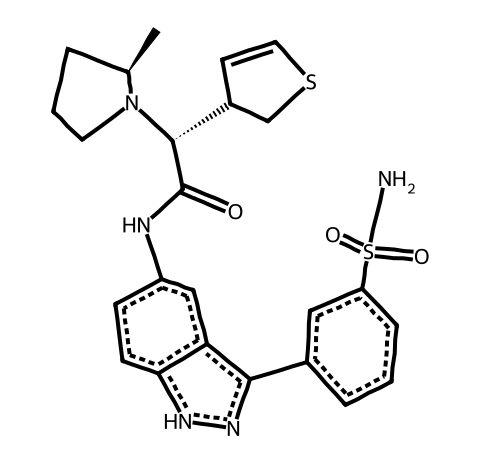 C[C@@H]1CCCN1[C@@H](C(=O)Nc1ccc2[nH]nc(-c3cccc(S(N)(=O)=O)c3)c2c1)C1C=CSC1